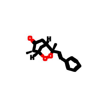 C[C@@H]1C(=O)C[C@H]2C[C@@H]1OO[C@@]2(C)C=Cc1ccccc1